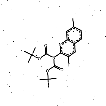 Cc1ccc2cc(F)c(N(C(=O)OC(C)(C)C)C(=O)OC(C)(C)C)nc2c1